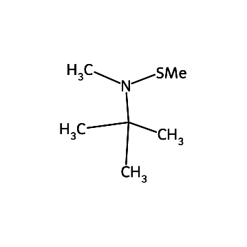 [C]SN(C)C(C)(C)C